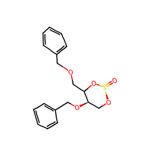 O=[S@]1OC[C@@H](OCc2ccccc2)C(COCc2ccccc2)O1